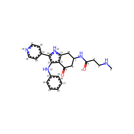 CNCCC(=O)NC1CC(=O)c2c([nH]c(-c3ccncc3)c2Nc2ccccc2)C1